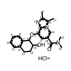 Cc1nc2c(OC3c4ccccc4CCC3O)cc(C(=O)N(C)C)cn2c1C.Cl